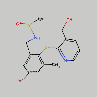 Cc1cc(Br)cc(CN[S+]([O-])C(C)(C)C)c1Sc1ncccc1CO